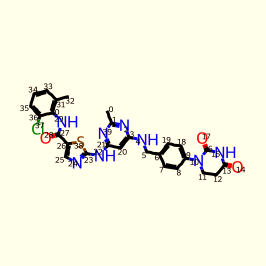 Cc1nc(NCc2ccc(N3CCC(=O)NC3=O)cc2)cc(Nc2ncc(C(=O)Nc3c(C)cccc3Cl)s2)n1